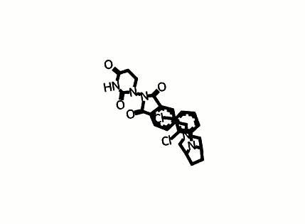 O=C1CCN(N2C(=O)c3ccc(CN4CC5CCC(C4)N5c4cccc(Cl)c4Cl)cc3C2=O)C(=O)N1